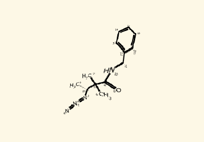 C[C@@H](N=[N+]=[N-])C(C)(C)C(=O)NCc1ccccc1